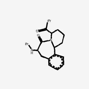 CC(C)NC1Cc2ccccc2C2CCCC(C(=O)C(C)C)N2C1=O